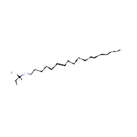 [CH2]CC(C)(C)NCCCCCCCCCCCCCCCCCC